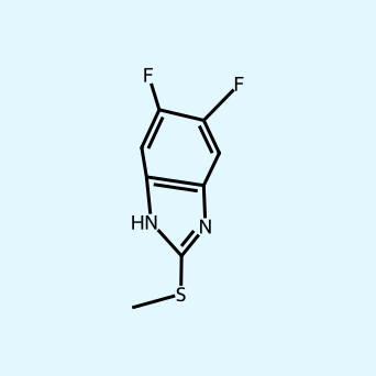 CSc1nc2cc(F)c(F)cc2[nH]1